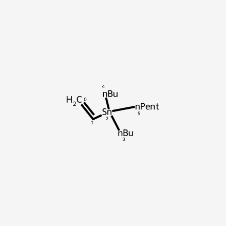 C=[CH][Sn]([CH2]CCC)([CH2]CCC)[CH2]CCCC